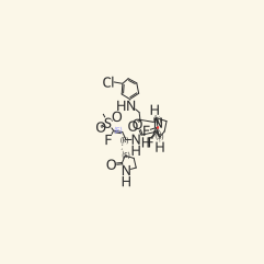 CS(=O)(=O)/C(F)=C/[C@@H](C[C@@H]1CCNC1=O)NC(=O)[C@H]1[C@@H]2CC[C@@H](CC2(F)F)N1C(=O)CNc1cccc(Cl)c1